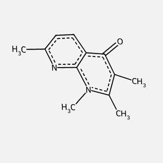 Cc1ccc2c(=O)c(C)c(C)n(C)c2n1